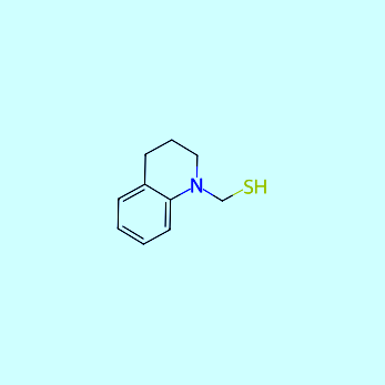 SCN1CCCc2ccccc21